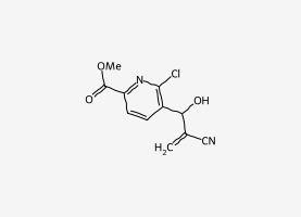 C=C(C#N)C(O)c1ccc(C(=O)OC)nc1Cl